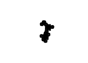 c1ccc(-c2nc(-c3ccc4oc5ccccc5c4c3)nc(-c3ccc4oc5c(-c6nc(-c7ccccc7)c7oc8ccccc8c7n6)cccc5c4c3)n2)cc1